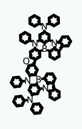 c1ccc(N(c2ccccc2)c2cc3c4c(c2)-n2c5ccccc5c5cccc(c52)B4c2cc4c(cc2N3c2ccccc2)oc2cc3c(cc24)B2c4c(cc(N(c5ccccc5)c5ccccc5)cc4-n4c5ccccc5c5cccc2c54)N3c2ccccc2)cc1